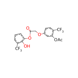 CC(=O)Oc1cc(OCC(=O)Oc2cccc(C(F)(F)F)c2O)ccc1C(F)(F)F